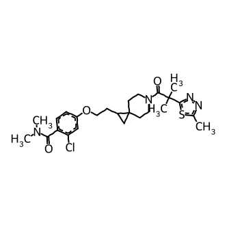 Cc1nnc(C(C)(C)C(=O)N2CCC3(CC2)CC3CCOc2ccc(C(=O)N(C)C)c(Cl)c2)s1